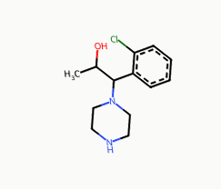 CC(O)C(c1ccccc1Cl)N1CCNCC1